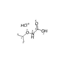 CC(C)ONC(=O)O.Cl